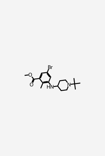 COC(=O)c1cc(Br)cc(NC2CCN(C(C)(C)C)CC2)c1C